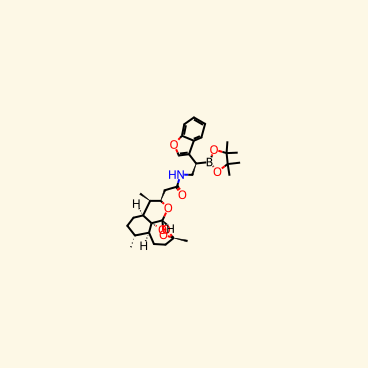 C[C@H]1[C@@H](CC(=O)NC[C@H](B2OC(C)(C)C(C)(C)O2)c2coc3ccccc23)O[C@@H]2O[C@@]3(C)CC[C@H]4[C@H](C)CC[C@@H]1[C@@]24OO3